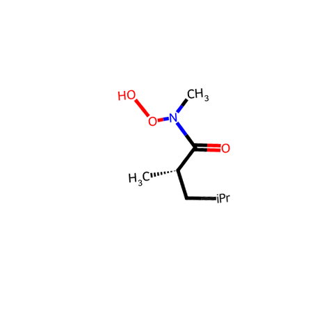 CC(C)C[C@H](C)C(=O)N(C)OO